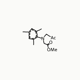 COC(=O)CN(CC(C)=O)c1c(C)cc(C)cc1C